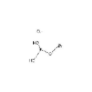 CC(C)OP(O)O.[Cu]